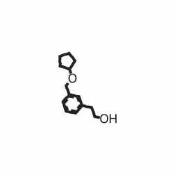 OCCc1cccc(COC2CCCC2)c1